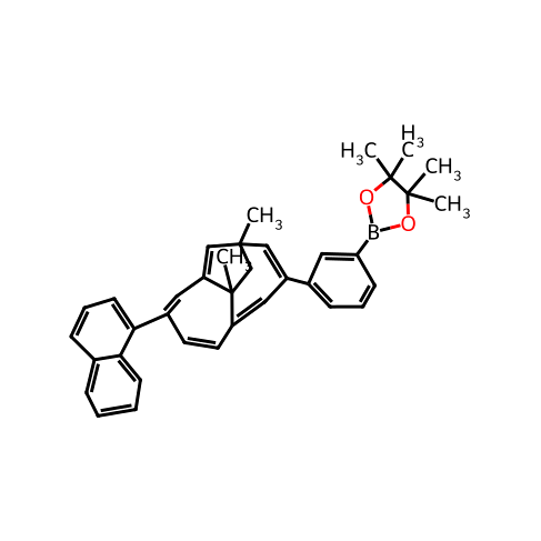 CC12C=C(c3cccc(B4OC(C)(C)C(C)(C)O4)c3)C=C3C=CC(c4cccc5ccccc45)=CC(=C1)C3(C)C2